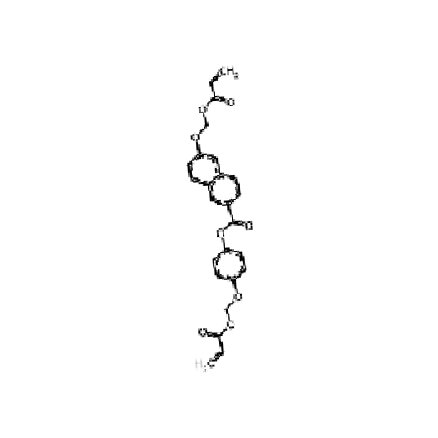 C=CC(=O)OCOc1ccc(OC(=O)c2ccc3cc(OCOC(=O)C=C)ccc3c2)cc1